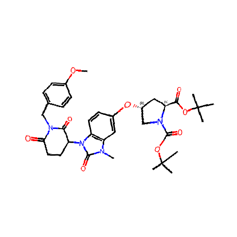 COc1ccc(CN2C(=O)CCC(n3c(=O)n(C)c4cc(O[C@@H]5C[C@@H](C(=O)OC(C)(C)C)N(C(=O)OC(C)(C)C)C5)ccc43)C2=O)cc1